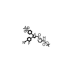 CC(C)S(=O)(=O)c1ccc(-c2sc(C(=O)N3CCC[C@@H](NC(=O)OC(C)(C)C)C3)cc2-c2ccc(C#N)c(F)c2)cc1